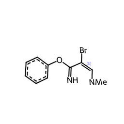 CN/C=C(/Br)C(=N)Oc1ccccc1